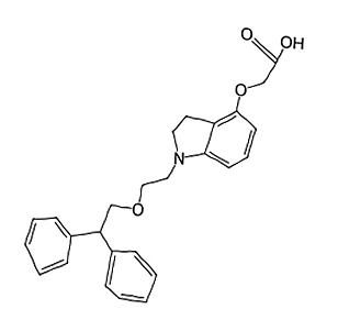 O=C(O)COc1cccc2c1CCN2CCOCC(c1ccccc1)c1ccccc1